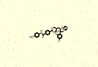 C[C@@H](CC1COC(c2ccc(C(=O)Nc3ccc(C#N)cc3)cc2)OC1)[C@](O)(Cn1cncn1)c1ccc(F)cc1F